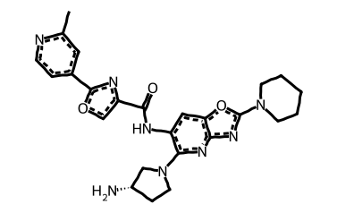 Cc1cc(-c2nc(C(=O)Nc3cc4oc(N5CCCCC5)nc4nc3N3CC[C@H](N)C3)co2)ccn1